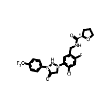 O=C(NCc1cc(N2CC(=O)N(c3ccc(C(F)(F)F)cc3)N2)c(Cl)cc1F)[C@H]1CCCO1